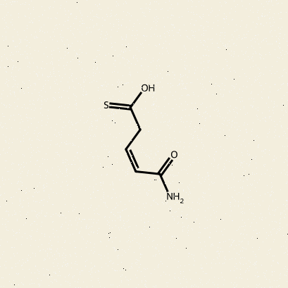 NC(=O)/C=C\CC(O)=S